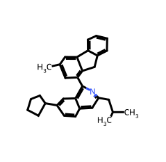 Cc1cc2c(c(-c3nc(CC(C)C)cc4ccc(C5CCCC5)cc34)c1)Cc1ccccc1-2